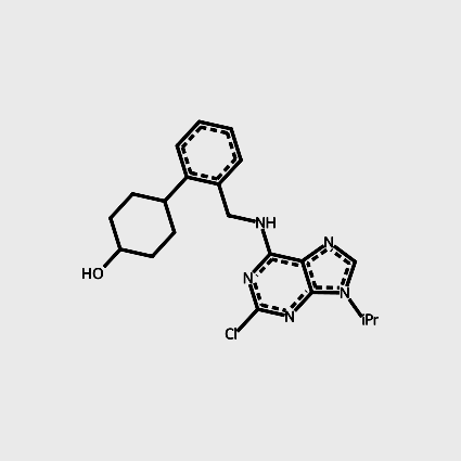 CC(C)n1cnc2c(NCc3ccccc3C3CCC(O)CC3)nc(Cl)nc21